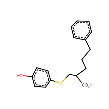 O=C(O)C(CCCc1ccccc1)CSc1ccc(O)cc1